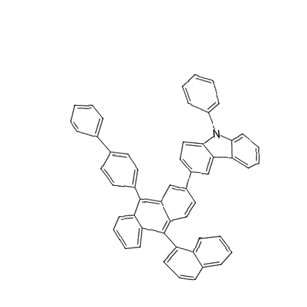 c1ccc(-c2ccc(-c3c4ccccc4c(-c4cccc5ccccc45)c4ccc(-c5ccc6c(c5)c5ccccc5n6-c5ccccc5)cc34)cc2)cc1